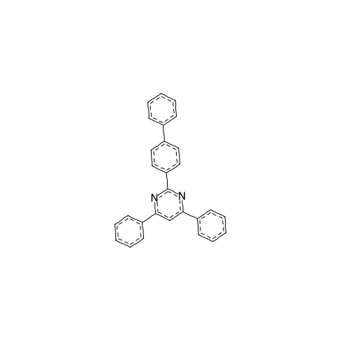 c1ccc(-c2ccc(-c3nc(-c4ccccc4)cc(-c4ccccc4)n3)cc2)cc1